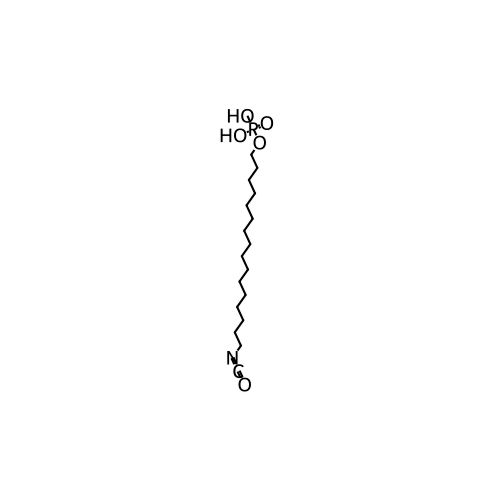 O=C=NCCCCCCCCCCCCCCCCOP(=O)(O)O